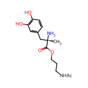 CC(=O)NCCCOC(=O)[C@@](C)(N)Cc1ccc(O)c(O)c1